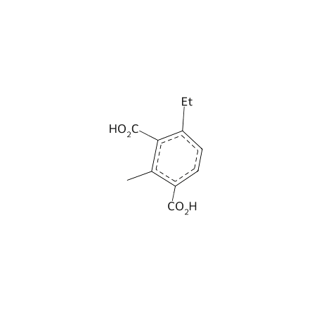 CCc1ccc(C(=O)O)c(C)c1C(=O)O